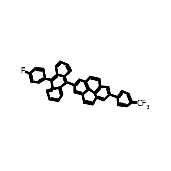 Fc1ccc(-c2c3ccccc3c(-c3cc4ccc5cc(-c6ccc(C(F)(F)F)cc6)cc6ccc(c3)c4c56)c3ccccc23)cc1